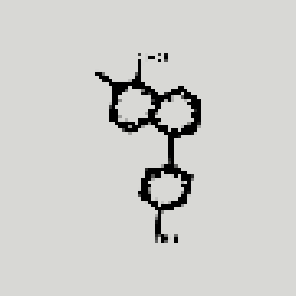 Cc1ccc2c(-c3ccc(C(C)(C)C)cc3)cccc2c1C=O